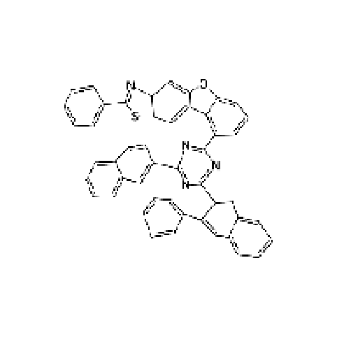 c1ccc(-c2nc3cc4oc5cccc(-c6nc(-c7ccc8ccccc8c7)nc(-c7cc8ccccc8cc7-c7ccccc7)n6)c5c4cc3s2)cc1